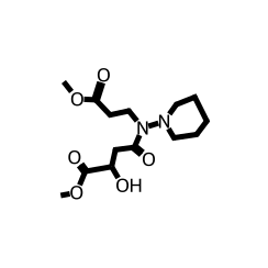 COC(=O)CCN(C(=O)CC(O)C(=O)OC)N1CCCCC1